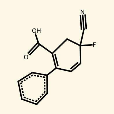 N#CC1(F)C=CC(c2ccccc2)=C(C(=O)O)C1